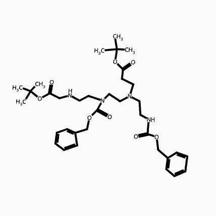 CC(C)(C)OC(=O)CCN(CCNC(=O)OCc1ccccc1)CCN(CCNCC(=O)OC(C)(C)C)C(=O)OCc1ccccc1